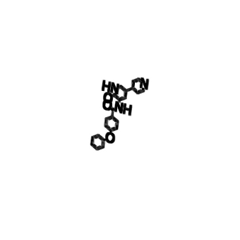 O=C(Nc1cc(-c2ccncc2)c[nH]c1=O)c1ccc(Oc2ccccc2)cc1